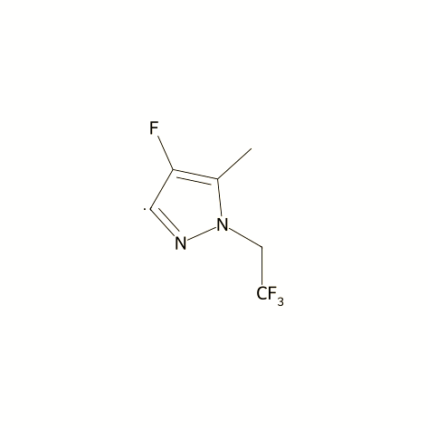 Cc1c(F)[c]nn1CC(F)(F)F